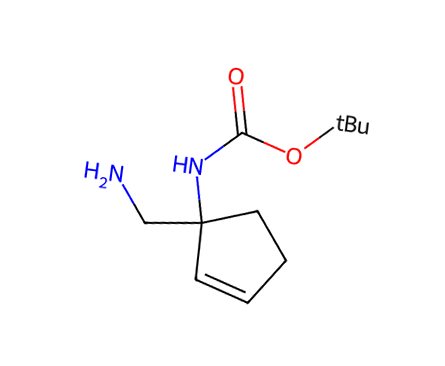 CC(C)(C)OC(=O)NC1(CN)C=CCC1